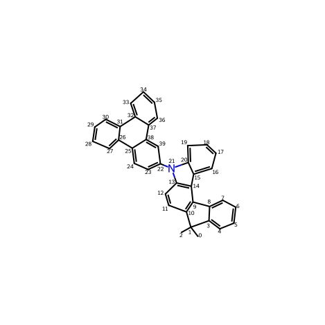 CC1(C)c2ccccc2-c2c1ccc1c2c2ccccc2n1-c1ccc2c3ccccc3c3ccccc3c2c1